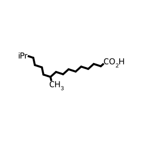 CC(C)CCCCC(C)CCCCCCCCC(=O)O